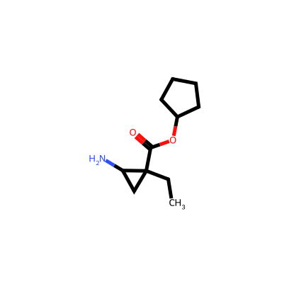 CCC1(C(=O)OC2CCCC2)CC1N